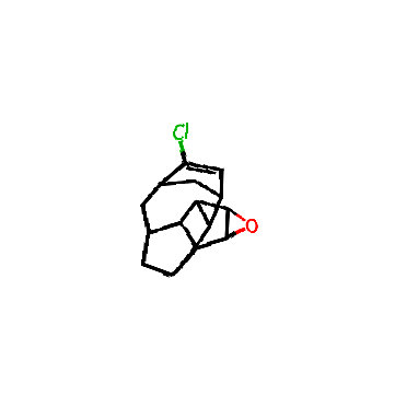 ClC1=CC2CC1CC1CC3C2C2C4OC4C3C12